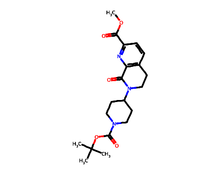 COC(=O)c1ccc2c(n1)C(=O)N(C1CCN(C(=O)OC(C)(C)C)CC1)CC2